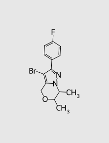 CC1OCc2c(Br)c(-c3ccc(F)cc3)nn2C1C